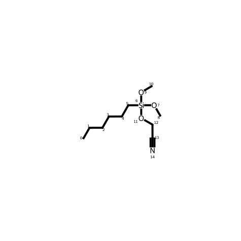 CCCCCC[Si](OC)(OC)OCC#N